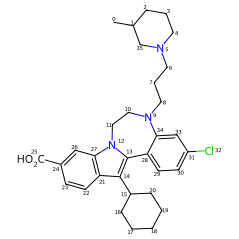 CC1CCCN(CCCN2CCn3c(c(C4CCCCC4)c4ccc(C(=O)O)cc43)-c3ccc(Cl)cc32)C1